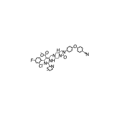 COC(=O)C1=C(CN2CCN3C(=O)N(c4ccc(Oc5ccc(C#N)cc5)cc4)C[C@@H]3C2)NC(c2nccs2)=N[C@H]1c1ccc(F)cc1Cl